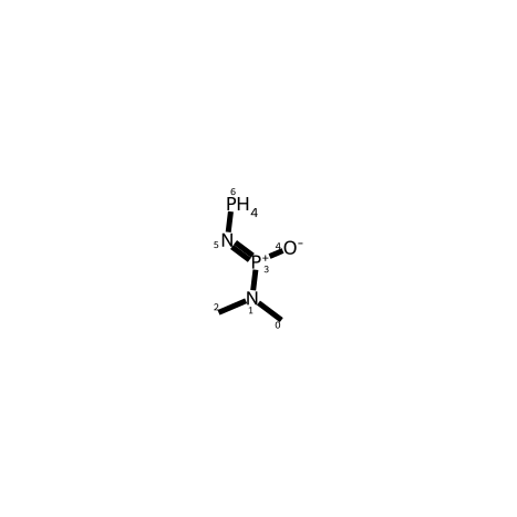 CN(C)/[P+]([O-])=N/[PH4]